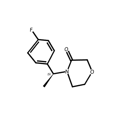 C[C@@H](c1ccc(F)cc1)N1CCOCC1=O